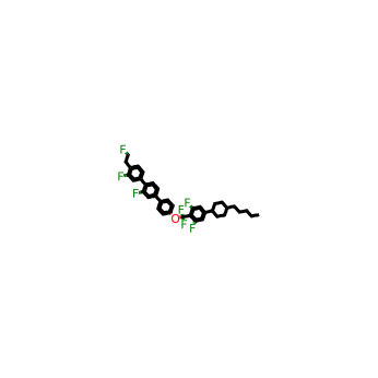 CCCCCC1CCC(c2cc(F)c(C(F)(F)Oc3ccc(-c4ccc(-c5ccc(CCF)c(F)c5)c(F)c4)cc3)c(F)c2)CC1